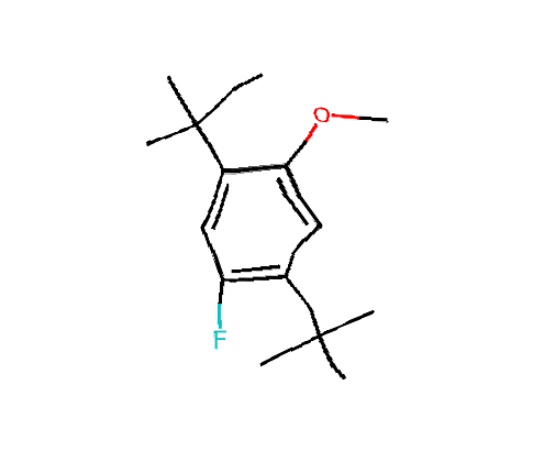 COc1cc(C(C)(C)C)c(F)cc1C(C)(C)C